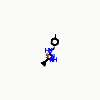 C[C@H]1CC[C@H](CNC2=NNC(C3CC3)S2)CC1